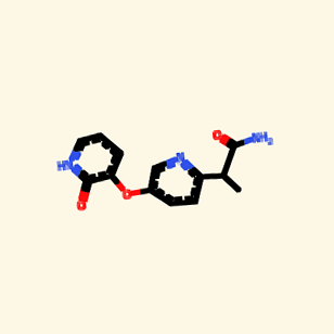 CC(C(N)=O)c1ccc(Oc2ccc[nH]c2=O)cn1